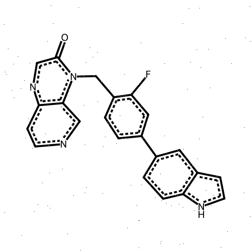 O=c1cnc2ccncc2n1Cc1ccc(-c2ccc3[nH]ccc3c2)cc1F